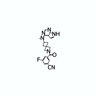 CN(c1ncnc2[nH]ccc12)C1CC2(C1)CN(C(=O)c1cc(F)cc(C#N)c1)C2